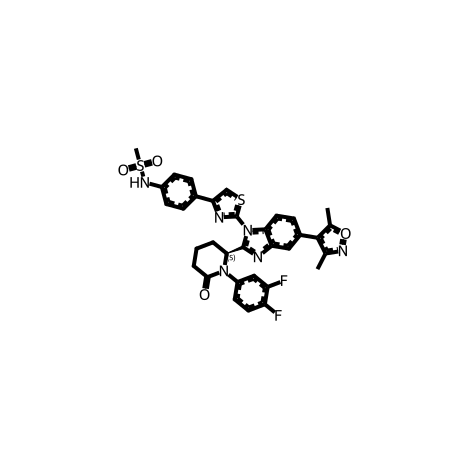 Cc1noc(C)c1-c1ccc2c(c1)nc([C@@H]1CCCC(=O)N1c1ccc(F)c(F)c1)n2-c1nc(-c2ccc(NS(C)(=O)=O)cc2)cs1